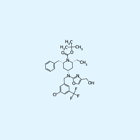 CC[C@@H]1C[C@H](N(Cc2cc(Cl)cc(C(F)(F)F)c2)c2nc(CO)co2)C[C@H](Cc2ccccc2)N1C(=O)OC(C)(C)C